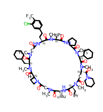 CCC[C@H]1C(=O)NC2(CCCC2)C(=O)N(C)[C@@H](C2CCCCC2)C(=O)N(C)[C@H](C(=O)N2CCCCC2)CC(=O)N(C)[C@@H](CC(C)C)C(=O)N[C@@H]([C@@H](C)CC)C(=O)N(C)CC(=O)N2CC[C@H]2C(=O)N(C)[C@@H](CC2CCCCC2)C(=O)N(C)CC(=O)N[C@@H](CCc2ccc(C(F)(F)F)c(Cl)c2)C(=O)N1C